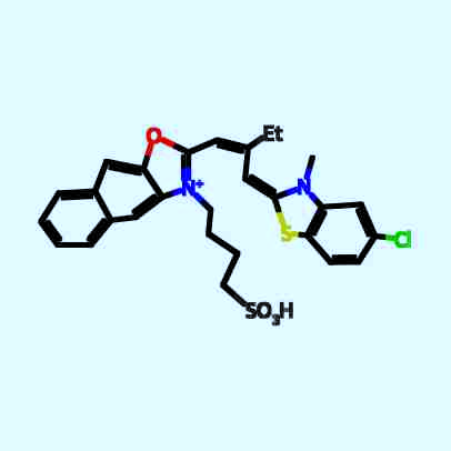 CCC(=Cc1oc2cc3ccccc3cc2[n+]1CCCCS(=O)(=O)O)C=C1Sc2ccc(Cl)cc2N1C